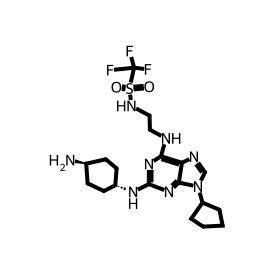 N[C@H]1CC[C@H](Nc2nc(NCCNS(=O)(=O)C(F)(F)F)c3ncn(C4CCCC4)c3n2)CC1